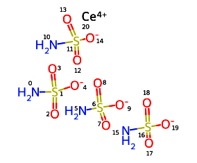 NS(=O)(=O)[O-].NS(=O)(=O)[O-].NS(=O)(=O)[O-].NS(=O)(=O)[O-].[Ce+4]